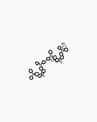 Cc1ccccc1N(c1ccccc1)c1ccc2c(ccc3sc4ccc5cc(N(c6ccccc6)c6ccc(-c7ccc(N(c8ccccc8)c8ccc9c(ccc%10sc%11ccc%12cc(N(c%13ccccc%13)c%13ccccc%13)ccc%12c%11c%109)c8)cc7)cc6C)ccc5c4c32)c1